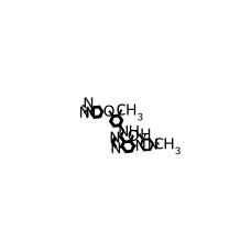 Cc1cc(Nc2ncnc3ccc4c(c23)OC[C@@H]2CN(C)CCN42)ccc1Oc1ccn2ncnc2c1